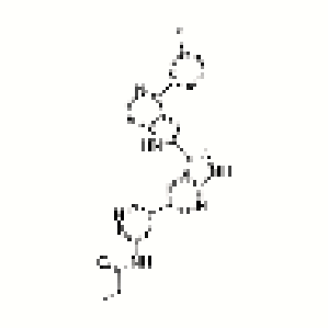 CCC(=O)Nc1cncc(-c2cnc3[nH]nc(-c4cc5c(-c6cccc(F)c6)nccc5[nH]4)c3c2)c1